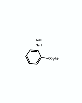 O=C(O)c1ccccc1.[NaH].[NaH].[NaH]